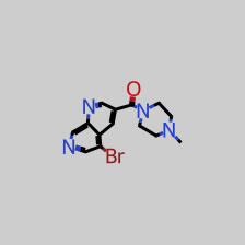 CN1CCN(C(=O)c2cnc3cncc(Br)c3c2)CC1